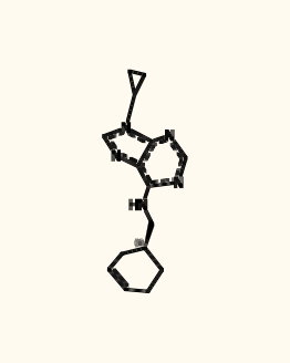 C1=CC[C@@H](CNc2ncnc3c2ncn3C2CC2)CC1